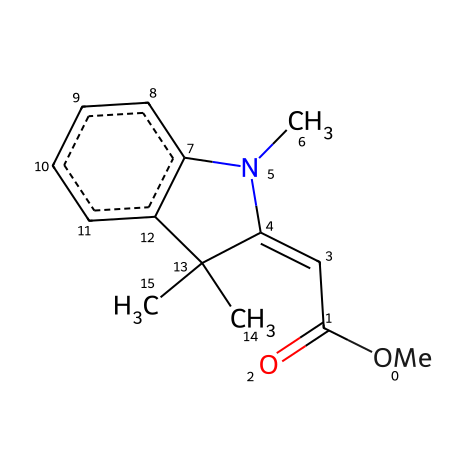 COC(=O)C=C1N(C)c2ccccc2C1(C)C